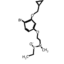 CC[S+]([O-])N(C)CCOc1ccc(Br)c(OCC2CC2)c1